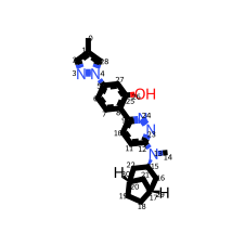 Cc1cnn(-c2ccc(-c3ccc(N(C)[C@H]4C[C@@H]5CC[C@@H](C5)C4)nn3)c(O)c2)c1